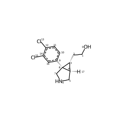 OCC[C@@H]1[C@H]2CNC[C@@]12c1ccc(Cl)c(Cl)c1